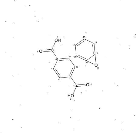 O=C(O)c1ccc(C(=O)O)cc1.c1ccc2c(c1)O2